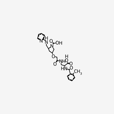 Cc1ccccc1C(=O)NC(CNC(=O)COC1CC(CNc2ccccn2)N(C(=O)O)C1)C(=O)O